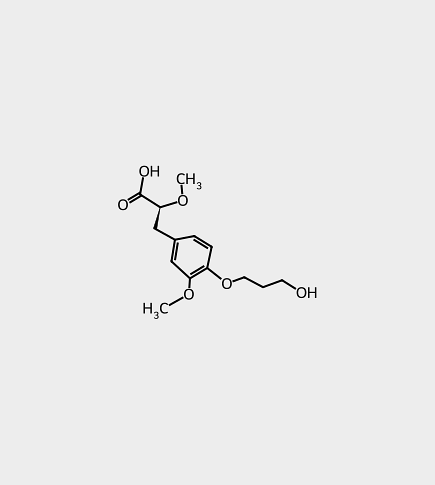 COc1cc(C[C@H](OC)C(=O)O)ccc1OCCCO